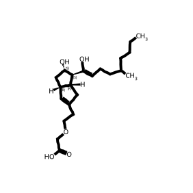 CCCCC(C)CCC=C(O)[C@H]1[C@@H]2CC(CCOCC(=O)O)=C[C@@H]2C[C@@H]1O